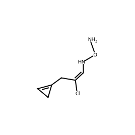 NON/C=C(/Cl)CC1=CC1